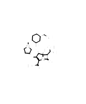 C[C@@H](O)[C@H]1C(=O)N2C(C(=O)O)=C(S[C@@H]3CCN(C[C@H]4CC[C@H](CN)CC4)C3)[C@H](C)[C@H]12